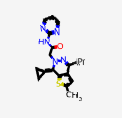 Cc1cc2c(s1)C(=C1CC1)N(CC(=O)Nc1ncccn1)N=C2C(C)C